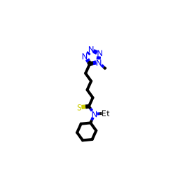 CCN(C(=S)CCCCc1nnnn1C)C1CCCCC1